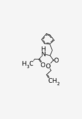 C=CCOC(=O)C(Cc1ccccc1)NC(=O)CC